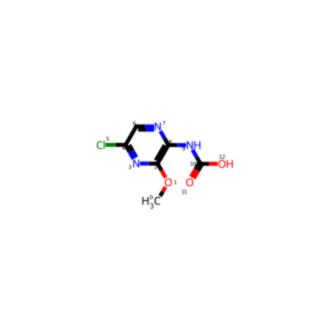 COc1nc(Cl)cnc1NC(=O)O